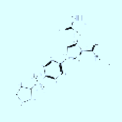 NC(=O)Nc1cn(-c2ccc(S(=O)(=O)C3CCCC3)cc2)nc1C(N)=O